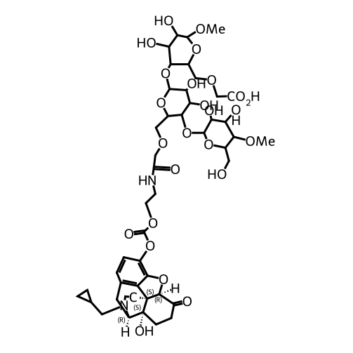 COC1OC(COCC(=O)O)C(OC2OC(COCC(=O)NCCOC(=O)Oc3ccc4c5c3O[C@H]3C(=O)CC[C@@]6(O)[C@@H](C4)N(CC4CC4)CC[C@]536)C(OC3OC(CO)C(OC)C(O)C3O)C(O)C2O)C(O)C1O